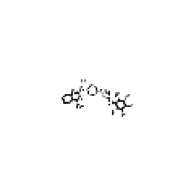 CN(C)c1nc(N[C@H]2CC[C@@H](NCCOc3c(F)c(F)c(F)c(F)c3F)CC2)nc2ccccc12